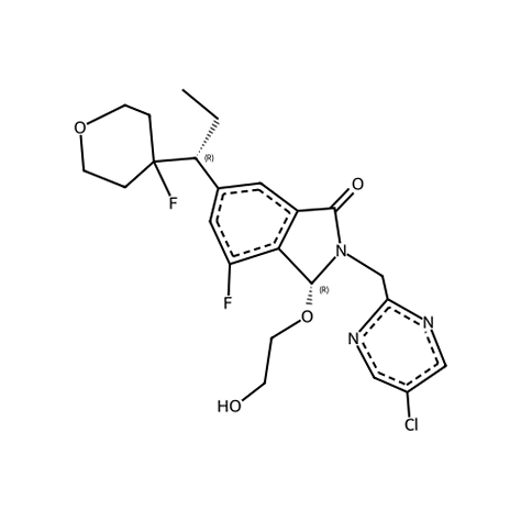 CC[C@H](c1cc(F)c2c(c1)C(=O)N(Cc1ncc(Cl)cn1)[C@@H]2OCCO)C1(F)CCOCC1